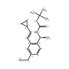 C[C@H](NC(=O)OC(C)(C)C)c1ccc(CO)cc1/C=C/C1CC1